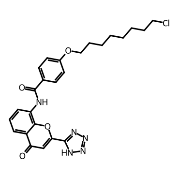 O=C(Nc1cccc2c(=O)cc(-c3nnn[nH]3)oc12)c1ccc(OCCCCCCCCCl)cc1